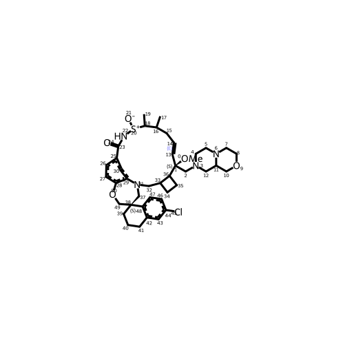 CO[C@]1(CN2CCN3CCOCC3C2)/C=C/CC(C)C(C)[S+]([O-])NC(=O)c2ccc3c(c2)N(CC2CCC21)C[C@@]1(CCCc2cc(Cl)ccc21)CO3